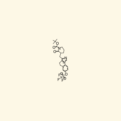 CC(C)(C)OC(=O)N1CCCC(Cc2ncn3c2CCc2cc(OS(=O)(=O)C(F)(F)F)ccc2-3)C1=O